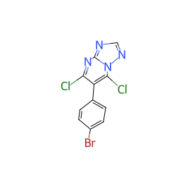 Clc1nc2ncnn2c(Cl)c1-c1ccc(Br)cc1